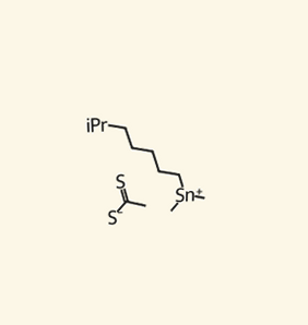 CC(=S)[S-].CC(C)CCCC[CH2][Sn+]([CH3])[CH3]